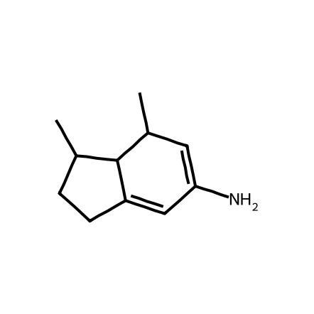 CC1C=C(N)C=C2CCC(C)C21